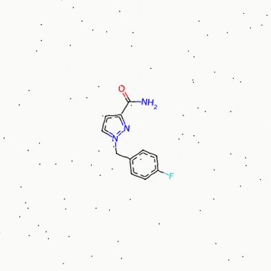 NC(=O)c1[c]cn(Cc2ccc(F)cc2)n1